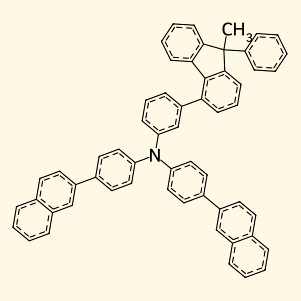 CC1(c2ccccc2)c2ccccc2-c2c(-c3cccc(N(c4ccc(-c5ccc6ccccc6c5)cc4)c4ccc(-c5ccc6ccccc6c5)cc4)c3)cccc21